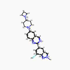 Cn1cc2cc(-c3ncc4cc(N5CCC(N6CCC6)CC5)ccc4n3)cc(F)c2n1